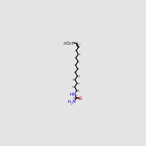 CCCCCCCC/C=C\CCCCCCCCCCCCNC(N)=O